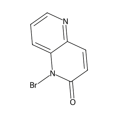 O=c1ccc2ncccc2n1Br